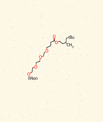 CCCCCCCCCOCCOCCOCCOCCCC(=O)OCCC(C)CC(C)(C)C